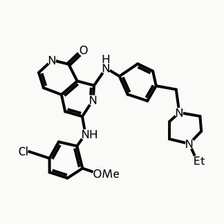 CCN1CCN(Cc2ccc(Nc3nc(Nc4cc(Cl)ccc4OC)cc4c3C(=O)[N]C=C4)cc2)CC1